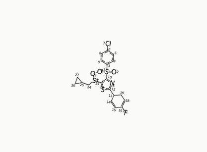 O=S(=O)(c1ccc(Cl)cc1)c1nc(C2C=CC(F)=CC2)sc1[S+]([O-])CC1CC1